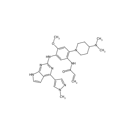 C=CC(=O)Nc1cc(Nc2nc(-c3cnn(C)c3)c3cc[nH]c3n2)c(OC)cc1N1CCC(N(C)C)CC1